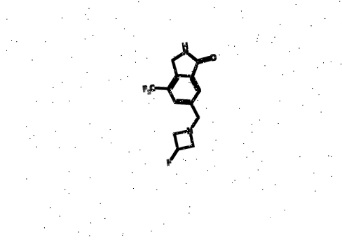 O=C1NCc2c1cc(CN1CC(F)C1)cc2C(F)(F)F